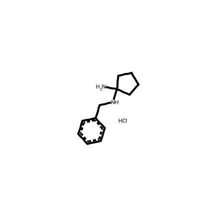 Cl.NC1(NCc2ccccc2)CCCC1